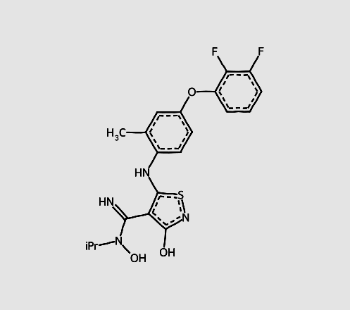 Cc1cc(Oc2cccc(F)c2F)ccc1Nc1snc(O)c1C(=N)N(O)C(C)C